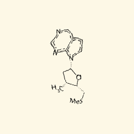 CSC[C@H]1O[C@@H](n2ccc3cncnc32)C[C@H]1C